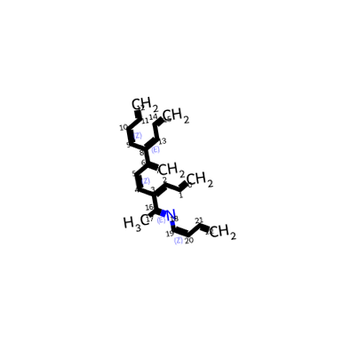 C=CC=C(/C=C\C(=C)C(/C=C\C=C)=C/C=C)/C(C)=N/C=C\C=C